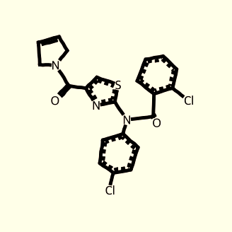 O=C(c1csc(N(C(=O)c2ccccc2Cl)c2ccc(Cl)cc2)n1)N1CC=CC1